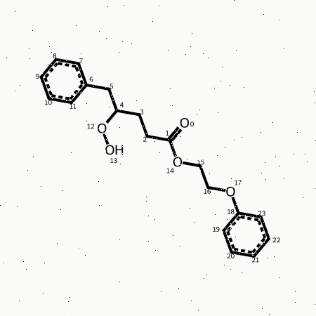 O=C(CCC(Cc1ccccc1)OO)OCCOc1ccccc1